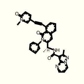 Cc1nn2cccnc2c1C(=O)N[C@H](C)c1cc2cccc(C#Cc3ccc(=O)n(C)c3)c2c(=O)n1-c1ccccc1